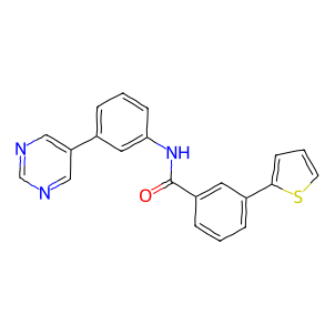 O=C(Nc1cccc(-c2cncnc2)c1)c1cccc(-c2cccs2)c1